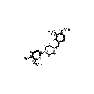 COc1ccc(CN2CCN(c3ccc(Br)c(OC)n3)CC2)cc1C